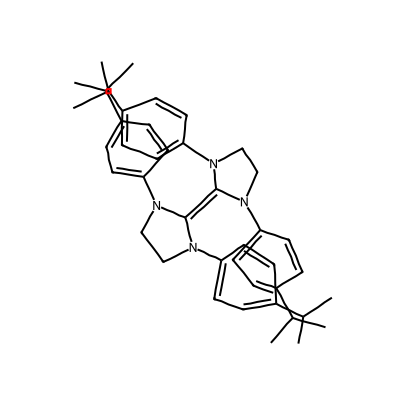 CC(C)c1ccc(N2CCN(c3ccc(C(C)C)cc3)C2=C2N(c3ccc(C(C)C)cc3)CCN2c2ccc(C(C)C)cc2)cc1